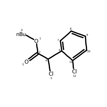 CCCCOC(=O)C(Cl)c1ccccc1Cl